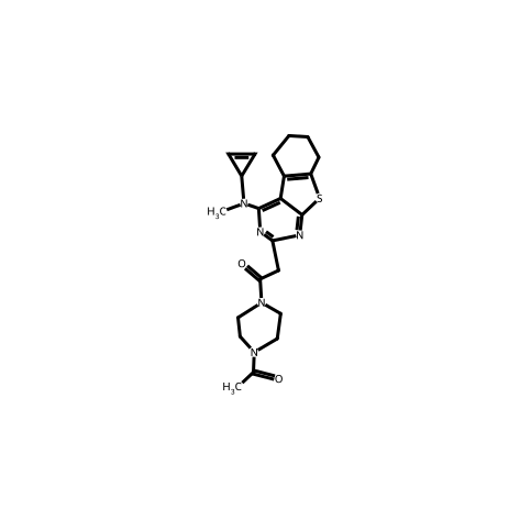 CC(=O)N1CCN(C(=O)Cc2nc(N(C)C3C=C3)c3c4c(sc3n2)CCCC4)CC1